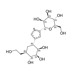 OCC[C@H]1C[C@H](c2csc([C@H]3O[C@H](CO)[C@@H](O)[C@H](O)[C@@H]3O)c2)[C@@H](O)[C@@H](O)[C@@H]1O